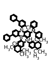 Cc1ccc(-c2ccccc2)cc1N1c2ccc(-c3ccccc3)cc2B2c3cc4c(cc3N(c3ccc5c(c3)C(C)(C)CCC5(C)C)c3cc(N(c5ccccc5)c5ccccc5)cc1c32)C(C)(C)CCC4(C)C